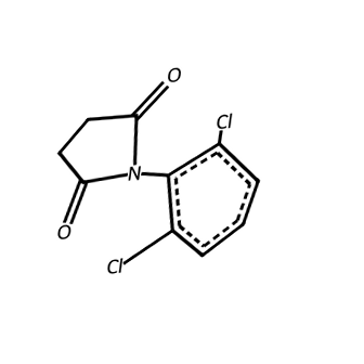 O=C1CCC(=O)N1c1c(Cl)cccc1Cl